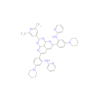 FC(F)(F)c1cc(C2=NC3=NC(c4ccc(N5CCCCC5)cc4Nc4ccccn4)=CC4=CC(c5ccc(N6CCCCC6)cc5Nc5ccccn5)=NC(=N2)C43)cc(C(F)(F)F)n1